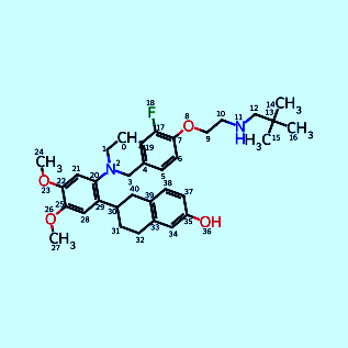 CCN(Cc1ccc(OCCNCC(C)(C)C)c(F)c1)c1cc(OC)c(OC)cc1C1CCc2cc(O)ccc2C1